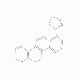 C1=CC2=C(CC1)CCc1c2ccc2c(C3CSC=N3)cccc12